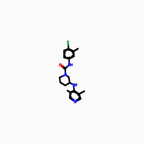 Cc1cc(NC(=O)N2CCCC(Nc3c(C)cncc3C)C2)ccc1F